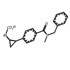 CN(Cc1ccccc1)C(=O)c1ccc(C2CC2NC(=O)O)cc1